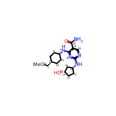 COC[C@H]1CC[C@@H](Nc2nc(N[C@H]3CC[C@H](O)C3)ncc2C(N)=O)CC1